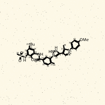 COc1ccc(-n2ncc(C3=CN(c4cc(C(=O)Nc5cc(C(C)(C)C)cc(NS(C)(=O)=O)c5OC)ccc4C)NN3)c2C)cc1